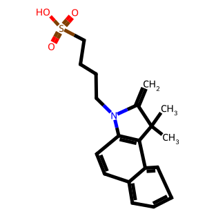 C=C1N(CCCCS(=O)(=O)O)c2ccc3ccccc3c2C1(C)C